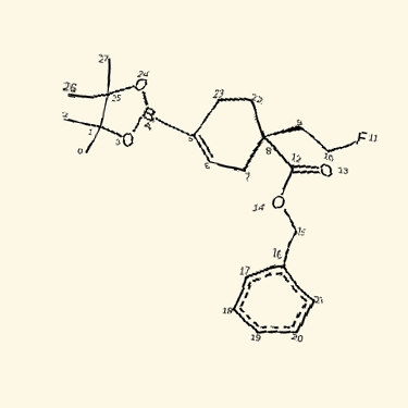 CC1(C)OB(C2=CC[C@@](CCF)(C(=O)OCc3ccccc3)CC2)OC1(C)C